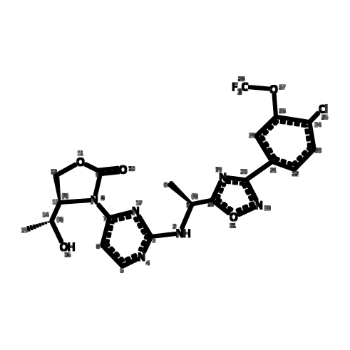 C[C@H](Nc1nccc(N2C(=O)OC[C@@H]2[C@@H](C)O)n1)c1nc(-c2ccc(Cl)c(OC(F)(F)F)c2)no1